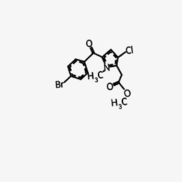 COC(=O)Cc1c(Cl)cc(C(=O)c2ccc(Br)cc2)n1C